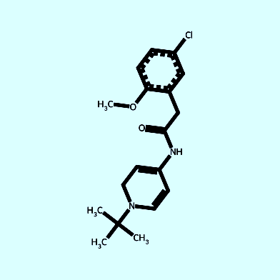 COc1ccc(Cl)cc1CC(=O)NC1=CCN(C(C)(C)C)C=C1